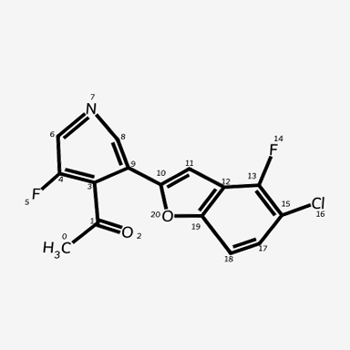 CC(=O)c1c(F)cncc1-c1cc2c(F)c(Cl)ccc2o1